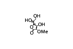 COC1=C(O)[C@@H]([C@@H](O)CO)OC1=O